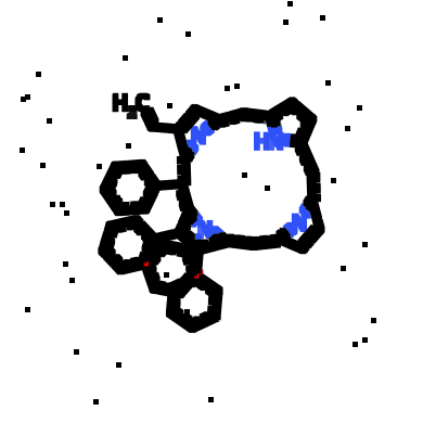 C=CC1=Cc2cc3ccc(cc4nc(cc5c(-c6ccccc6)c(-c6ccccc6)c(c(-c6ccccc6)c1n2)n5-c1ccccc1)C=C4)[nH]3